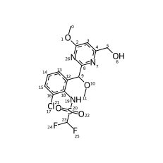 COc1cc(CO)nc(C(OC)c2cccc(Cl)c2NS(=O)(=O)C(F)F)n1